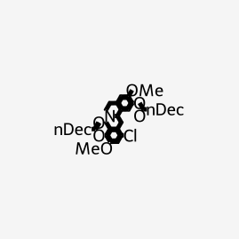 CCCCCCCCCCC(=O)Oc1cc2c(cc1OC)CCN1Cc3c(c(Cl)cc(OC)c3OC(=O)CCCCCCCCCC)CC21